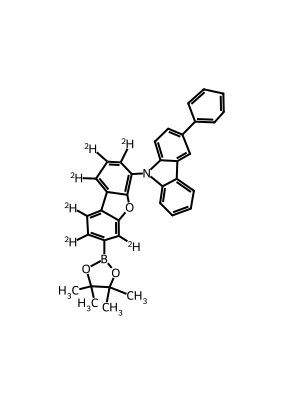 [2H]c1c([2H])c([2H])c2c(oc3c([2H])c(B4OC(C)(C)C(C)(C)O4)c([2H])c([2H])c32)c1-n1c2ccccc2c2cc(-c3ccccc3)ccc21